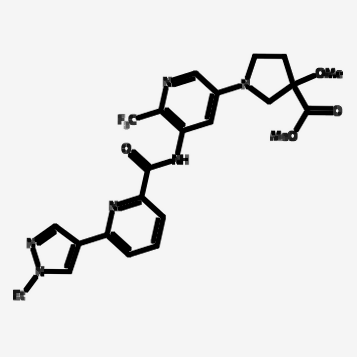 CCn1cc(-c2cccc(C(=O)Nc3cc(N4CCC(OC)(C(=O)OC)C4)cnc3C(F)(F)F)n2)cn1